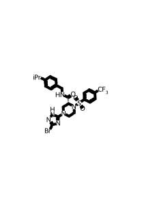 CC(C)c1ccc(CNC(=O)[C@H]2CN(c3nc(Br)n[nH]3)CCN2S(=O)(=O)c2ccc(C(F)(F)F)cc2)cc1